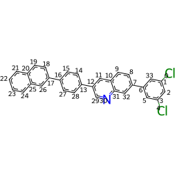 Clc1cc(Cl)cc(-c2ccc3cc(-c4ccc(-c5ccc6ccccc6c5)cc4)cnc3c2)c1